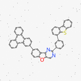 c1cc(-c2ncc3oc4ccc(-c5ccc6c7ccccc7c7ccccc7c6c5)cc4c3n2)cc(-c2cccc3c2sc2ccccc23)c1